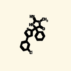 CN1C(=N)NC(c2ccccc2)(c2cc(-c3cccc(Cl)c3)cs2)C1=O